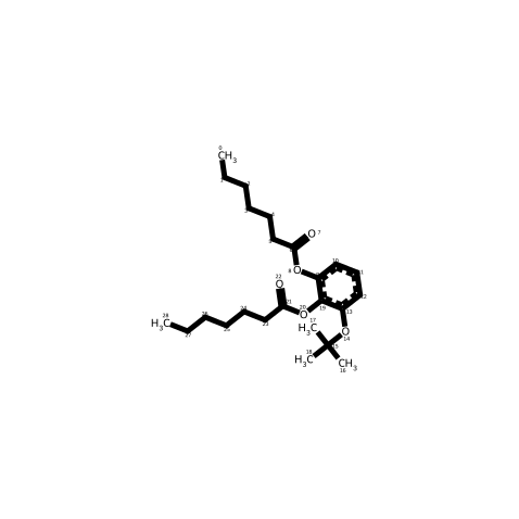 CCCCCCC(=O)Oc1cccc(OC(C)(C)C)c1OC(=O)CCCCCC